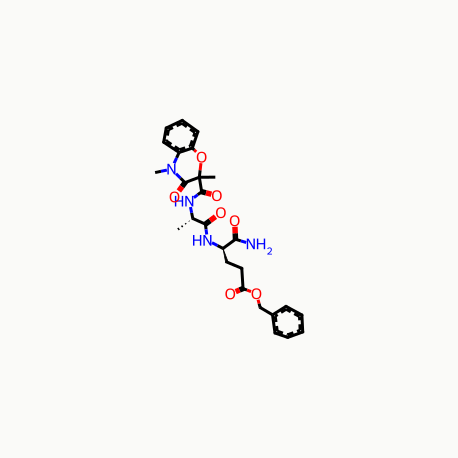 C[C@H](NC(=O)C1(C)Oc2ccccc2N(C)C1=O)C(=O)N[C@H](CCC(=O)OCc1ccccc1)C(N)=O